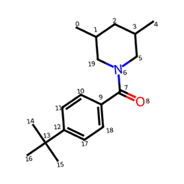 CC1CC(C)CN(C(=O)c2ccc(C(C)(C)C)cc2)C1